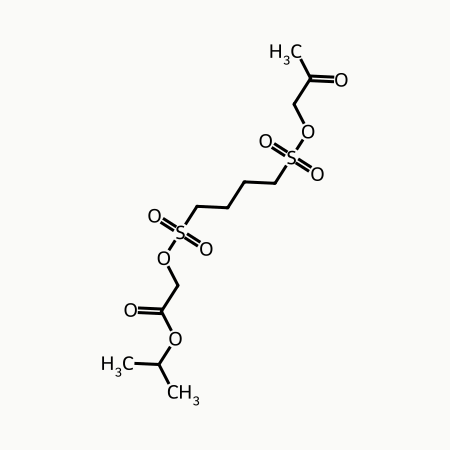 CC(=O)COS(=O)(=O)CCCCS(=O)(=O)OCC(=O)OC(C)C